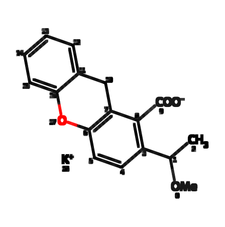 COC(C)c1ccc2c(c1C(=O)[O-])Cc1ccccc1O2.[K+]